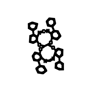 C1=Nc2c(cccc2-c2ccccc2)OC2Oc3cccc(-c4ccccc4)c3N=C=Nc3c(cccc3-c3ccccc3)OC2Oc2cccc(-c3ccccc3)c2N=1